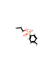 CC[CH]OS(=O)(=O)c1ccc(C)cc1